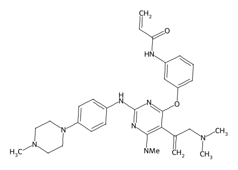 C=CC(=O)Nc1cccc(Oc2nc(Nc3ccc(N4CCN(C)CC4)cc3)nc(NC)c2C(=C)CN(C)C)c1